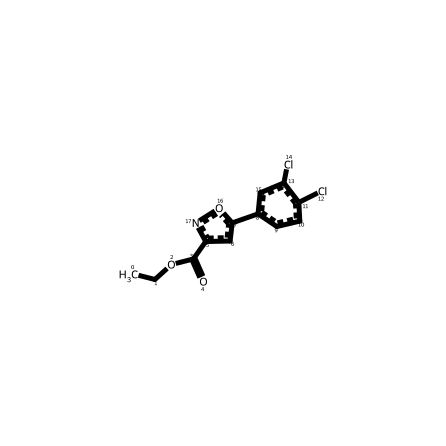 CCOC(=O)c1cc(-c2ccc(Cl)c(Cl)c2)on1